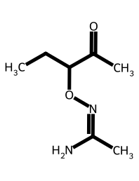 CCC(ON=C(C)N)C(C)=O